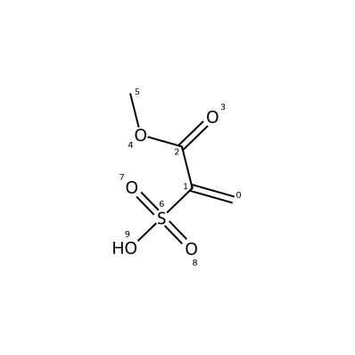 C=C(C(=O)OC)S(=O)(=O)O